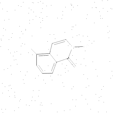 CCCn1ccc2c(C)cccc2c1=O